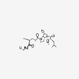 COC(CC(C)C)C(=O)N1CC(=O)C2C1CCN2C(=O)[CH]CC(C)C(N)=O